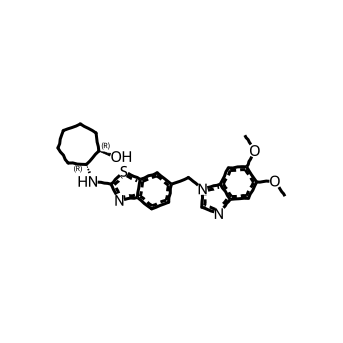 COc1cc2ncn(Cc3ccc4nc(N[C@@H]5CCCCC[C@H]5O)sc4c3)c2cc1OC